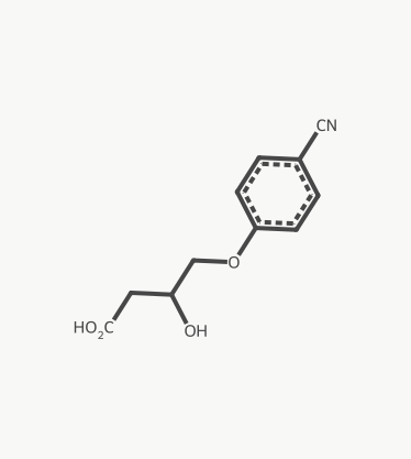 N#Cc1ccc(OCC(O)CC(=O)O)cc1